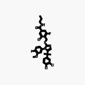 CCCNC(=O)c1cc(F)c(CSc2ncc(C(C)(C)c3ccc(Cl)c(Cl)c3)n2-c2ccc(F)c(OC)c2)c(Cl)c1